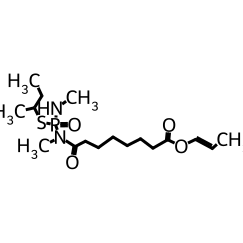 CC=COC(=O)CCCCCCC(=O)N(C)P(=O)(NC)SC(C)CC